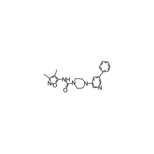 Cc1noc(NC(=O)N2CCN(c3cncc(-c4ccccc4)c3)CC2)c1C